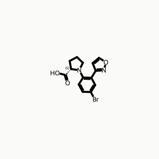 O=C(O)[C@@H]1CCCN1c1ccc(Br)cc1-c1ccon1